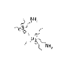 CCCO[Si](CCCN)(OCCC)OCCC.CCO[Si](CCCN)(OCC)OCC